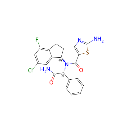 NC(=O)[C@@H](c1ccccc1)N(C(=O)c1cnc(N)s1)[C@@H]1CCc2c(F)cc(Cl)cc21